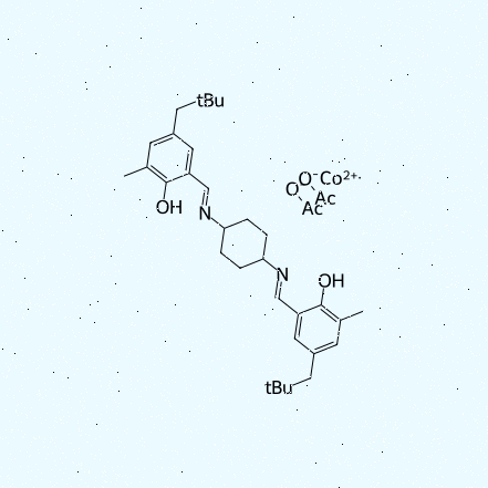 CC(=O)[O-].CC(=O)[O-].Cc1cc(CC(C)(C)C)cc(C=NC2CCC(N=Cc3cc(CC(C)(C)C)cc(C)c3O)CC2)c1O.[Co+2]